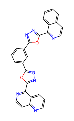 c1cc(-c2nnc(-c3nccc4ccccc34)o2)cc(-c2nnc(-c3nccc4ncccc34)o2)c1